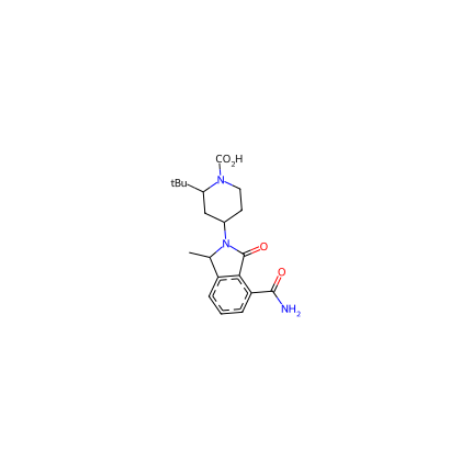 CC1c2cccc(C(N)=O)c2C(=O)N1C1CCN(C(=O)O)C(C(C)(C)C)C1